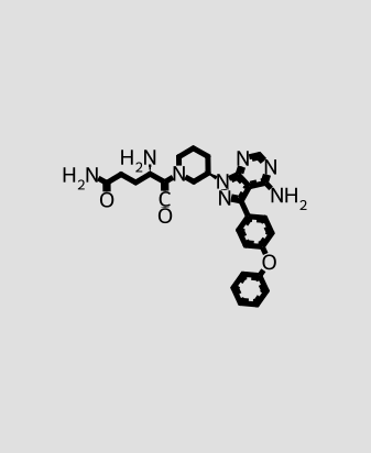 NC(=O)CC[C@H](N)C(=C=O)N1CCC[C@@H](n2nc(-c3ccc(Oc4ccccc4)cc3)c3c(N)ncnc32)C1